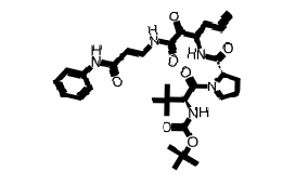 C=CCC(NC(=O)[C@@H]1CCCN1C(=O)[C@@H](NC(=O)OC(C)(C)C)C(C)(C)C)C(=O)C(=O)NCCC(=O)Nc1ccccc1